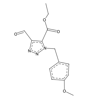 CCOC(=O)c1c(C=O)nnn1Cc1ccc(OC)cc1